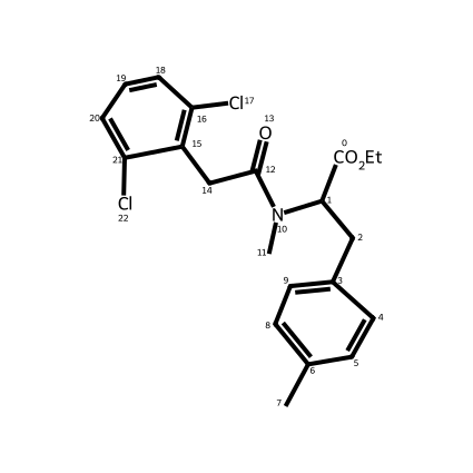 CCOC(=O)C(Cc1ccc(C)cc1)N(C)C(=O)Cc1c(Cl)cccc1Cl